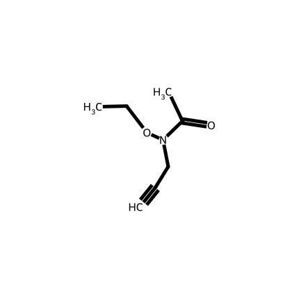 C#CCN(OCC)C(C)=O